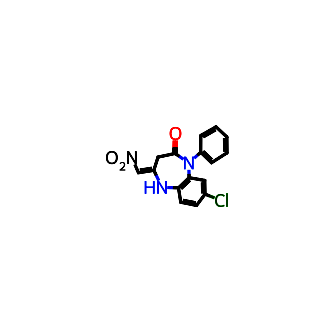 O=C1CC(=C[N+](=O)[O-])Nc2ccc(Cl)cc2N1c1ccccc1